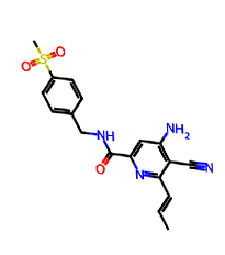 CC=Cc1nc(C(=O)NCc2ccc(S(C)(=O)=O)cc2)cc(N)c1C#N